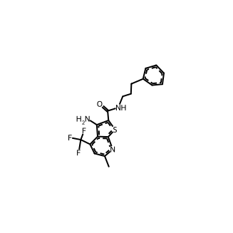 Cc1cc(C(F)(F)F)c2c(N)c(C(=O)NCCCc3ccccc3)sc2n1